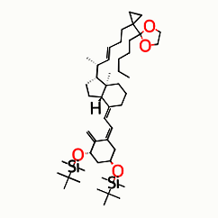 C=C1/C(=C\C=C2/CCC[C@]3(C)[C@@H]([C@H](C)/C=C/CCC4(C5(CCCCC)OCCO5)CC4)CC[C@@H]23)C[C@@H](O[Si](C)(C)C(C)(C)C)C[C@@H]1O[Si](C)(C)C(C)(C)C